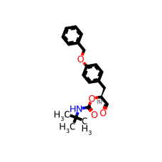 CC(C)(C)NC(=O)O[C@H](C=O)Cc1ccc(OCc2ccccc2)cc1